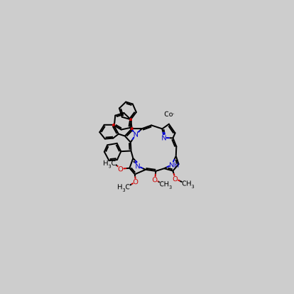 COC1=C(OC)c2nc1c(OC)c1[nH]c(cc3nc(cc4c(-c5ccccc5)c(-c5ccccc5)c(c2-c2ccccc2)n4-c2ccccc2)C=C3)cc1OC.[Co]